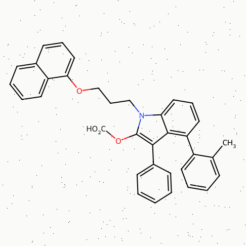 Cc1ccccc1-c1cccc2c1c(-c1ccccc1)c(OC(=O)O)n2CCCOc1cccc2ccccc12